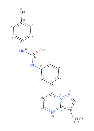 CCOC(=O)c1cnn2c(-c3cccc(NC(=O)Nc4ccc(C#N)cc4)c3)ccnc12